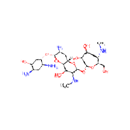 CNC1C(O[C@H]2OC(CO)[C@@H](NC)C(O)C2O)O[C@H]2CC(N)[C@@H](O[C@H]3CC(O)[C@H](N)CC3N)OC2C1O